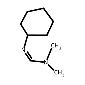 CN(C)/C=N\C1CCCCC1